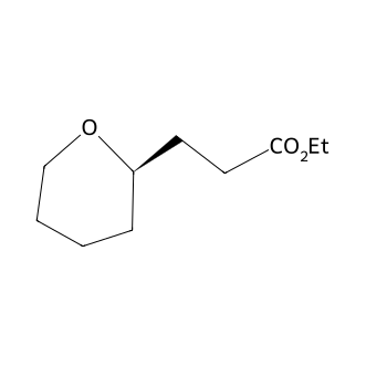 CCOC(=O)CC[C@H]1CCCCO1